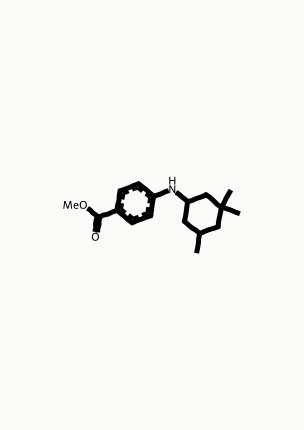 COC(=O)c1ccc(NC2CC(C)CC(C)(C)C2)cc1